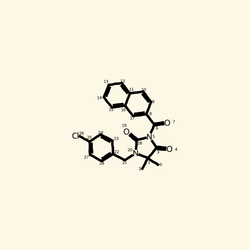 CC1(C)C(=O)N(C(=O)c2ccc3ccccc3c2)C(=O)N1Cc1ccc(Cl)cc1